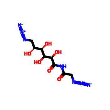 [N-]=[N+]=NCC(=O)NC(=O)[C@H](O)[C@@H](O)[C@@H](O)[C@H](O)CN=[N+]=[N-]